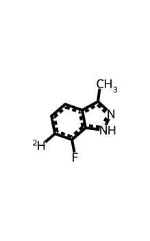 [2H]c1ccc2c(C)n[nH]c2c1F